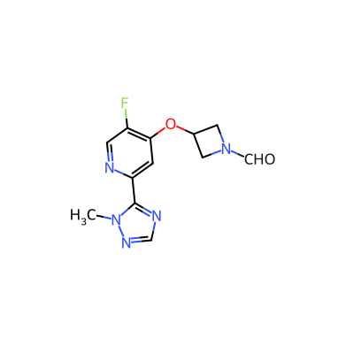 Cn1ncnc1-c1cc(OC2CN(C=O)C2)c(F)cn1